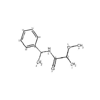 COC(C)C(=O)NC(C)c1ccccc1